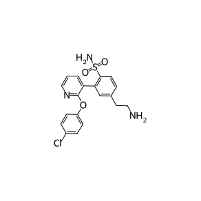 NCCc1ccc(S(N)(=O)=O)c(-c2cccnc2Oc2ccc(Cl)cc2)c1